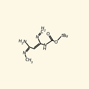 C=N/C(=C\C(N)=N/C)NC(=O)OC(C)(C)C